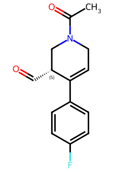 CC(=O)N1CC=C(c2ccc(F)cc2)[C@H](C=O)C1